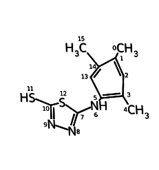 Cc1cc(C)c(Nc2nnc(S)s2)cc1C